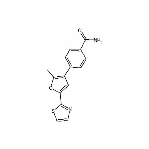 Cc1oc(-c2nccs2)cc1-c1ccc(C(N)=O)cc1